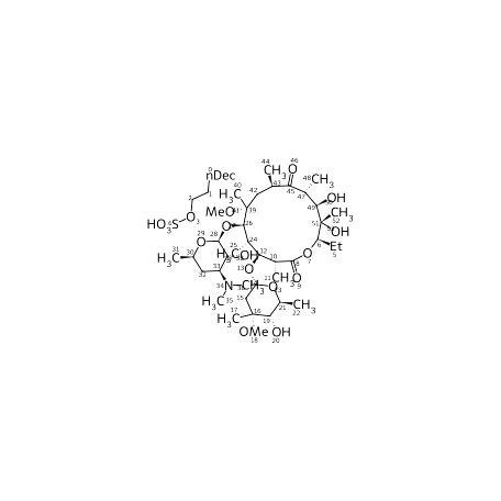 CCCCCCCCCCCCOS(=O)(=O)O.CC[C@H]1OC(=O)[C@H](C)[C@@H](O[C@H]2C[C@@](C)(OC)[C@@H](O)[C@H](C)O2)[C@H](C)[C@@H](O[C@@H]2O[C@H](C)C[C@H](N(C)C)[C@H]2O)[C@](C)(OC)C[C@@H](C)C(=O)[C@H](C)[C@@H](O)[C@]1(C)O